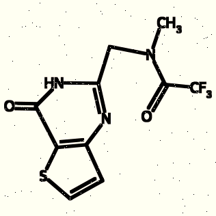 CN(Cc1nc2ccsc2c(=O)[nH]1)C(=O)C(F)(F)F